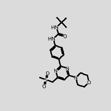 CC(C)(C)NC(=O)Nc1ccc(-c2nc(CS(C)(=O)=O)cc(N3CCOCC3)n2)cc1